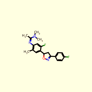 CC(=Nc1cc(F)c(C2CC(c3ccc(F)cc3)=NO2)cc1C)N(C)C